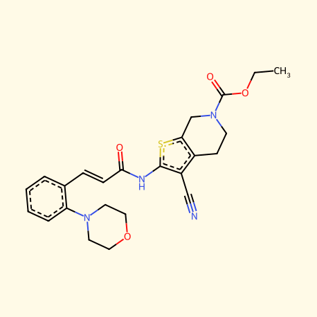 CCOC(=O)N1CCc2c(sc(NC(=O)C=Cc3ccccc3N3CCOCC3)c2C#N)C1